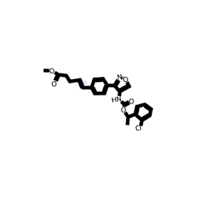 COC(=O)CC/C=C/c1ccc(-c2nocc2NC(=O)OC(C)c2ccccc2Cl)cc1